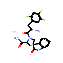 Cl.NC(=O)[C@@H]1C[C@@]2(CN1C(=O)[C@@H](N)Cc1cc(F)c(F)cc1F)C(=O)Nc1ccccc12